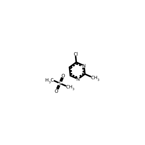 CS(C)(=O)=O.Cc1nccc(Cl)n1